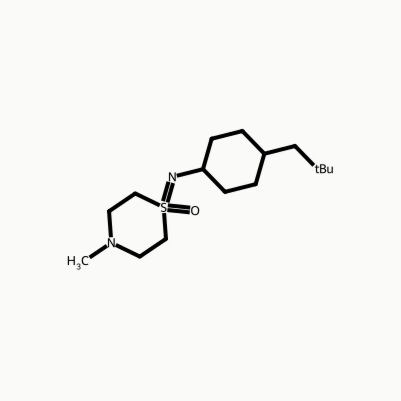 CN1CCS(=O)(=NC2CCC(CC(C)(C)C)CC2)CC1